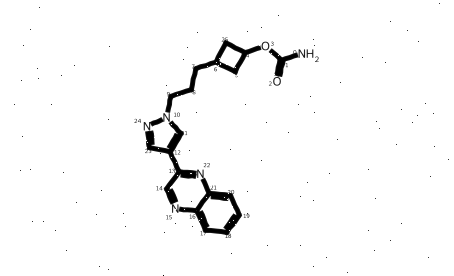 NC(=O)OC1CC(CCCn2cc(-c3cnc4ccccc4n3)cn2)C1